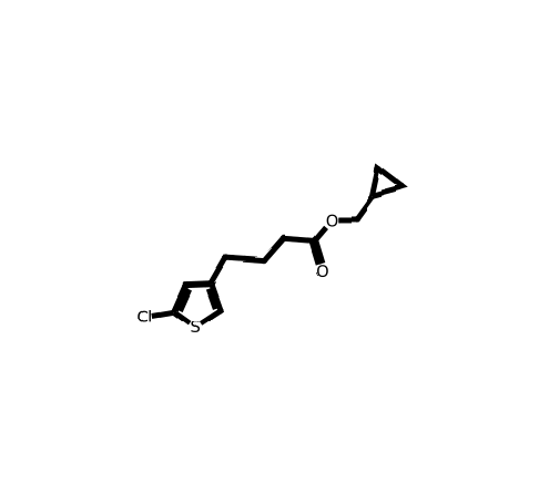 O=C(CCCc1csc(Cl)c1)OCC1CC1